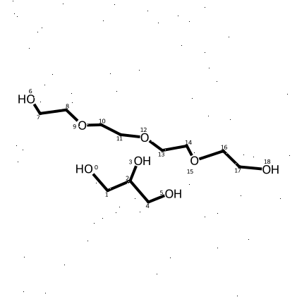 OCC(O)CO.OCCOCCOCCOCCO